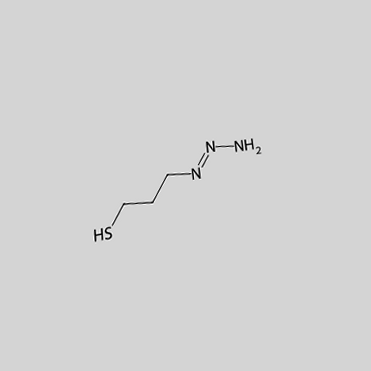 NN=NCCCS